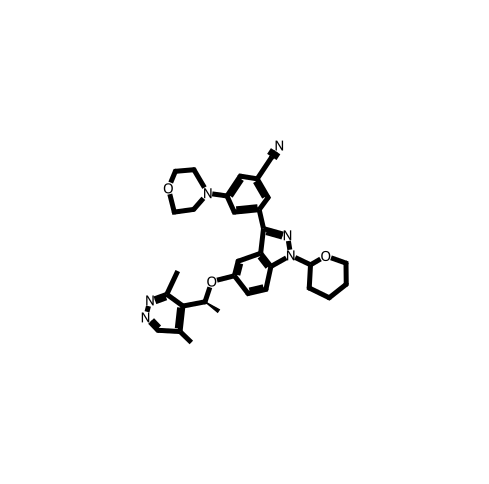 Cc1cnnc(C)c1[C@H](C)Oc1ccc2c(c1)c(-c1cc(C#N)cc(N3CCOCC3)c1)nn2C1CCCCO1